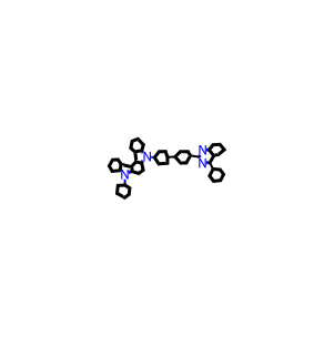 c1ccc(-c2nc(-c3ccc(-c4ccc(-n5c6ccccc6c6c7c8ccccc8n(-c8ccccc8)c7ccc65)cc4)cc3)nc3ccccc23)cc1